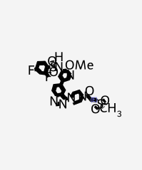 COc1ncc(-c2ccc3ncnc(N4CCN(C(=O)/C=C/S(C)(=O)=O)CC4)c3c2)cc1NS(=O)(=O)c1ccc(F)cc1F